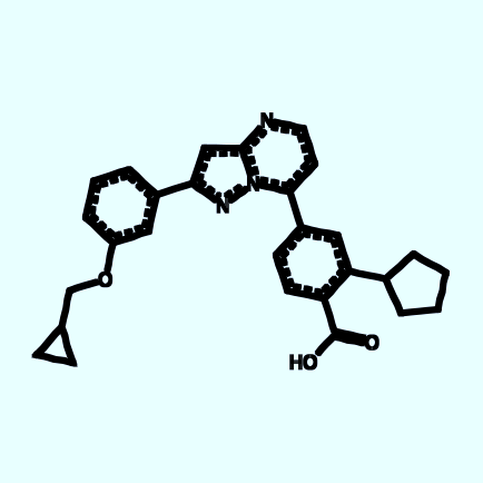 O=C(O)c1ccc(-c2ccnc3cc(-c4cccc(OCC5CC5)c4)nn23)cc1C1CCCC1